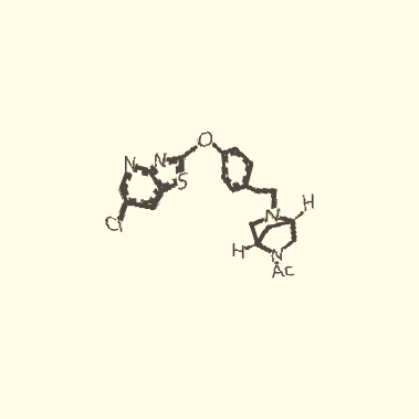 CC(=O)N1C[C@@H]2C[C@H]1CN2Cc1ccc(Oc2nc3ncc(Cl)cc3s2)cc1